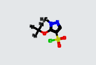 [2H]C([2H])([2H])Oc1c(S(=O)(=O)Cl)cnn1C